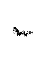 O=C(/C=C/CN1CCCC(CCO)C1)N1CCc2c(sc3ncnc(Nc4ccc(OCc5ccccn5)c(Cl)c4)c23)C1